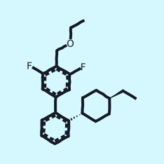 CCOCc1c(F)cc(-c2ccccc2[C@H]2CC[C@H](CC)CC2)cc1F